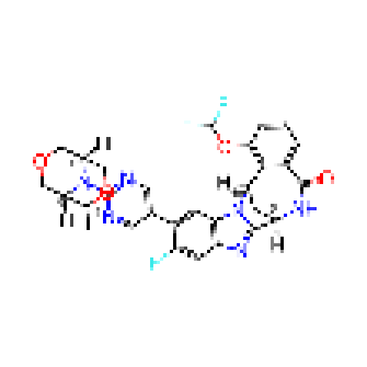 C[C@@H]1OC[C@H]2COC[C@@H]1N2c1ncc(-c2cc3c(cc2F)nc2n3[C@@H]3C[C@H]2NC(=O)c2cccc(OC(F)F)c23)cn1